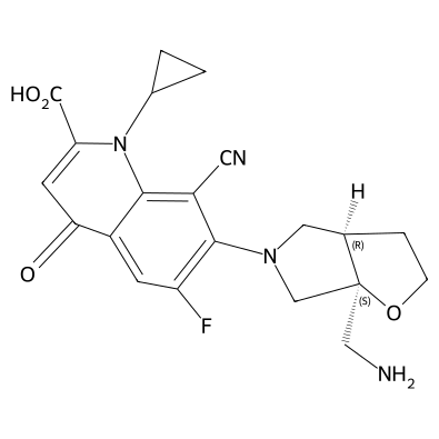 N#Cc1c(N2C[C@H]3CCO[C@@]3(CN)C2)c(F)cc2c(=O)cc(C(=O)O)n(C3CC3)c12